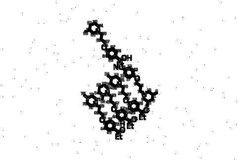 CC1CC(C)CN(CCCOc2ccc(C#N)cc2)C1.CCC(=O)c1ccc(OCCCN2CCC(C)CC2)cc1.CCC(=O)c1ccc(OCCCN2CCCCC2C)cc1.CCC(O)c1ccc(OCCCN2CCC(C)CC2)cc1.CCC(O)c1ccc(OCCCN2CCCC(C)C2)cc1